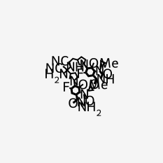 COc1c(N2CCC(CC(C#N)NC(N)(CC#N)C3CCN(c4c(F)cc5c(=O)n(N)c(=O)n(C6CC6)c5c4OC)C3)C2)c(F)cc2c(=O)[nH]c(=O)n(C3CC3)c12